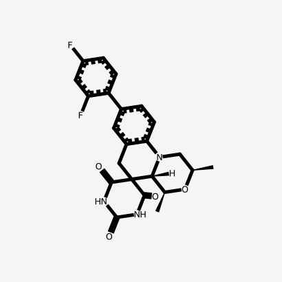 C[C@@H]1CN2c3ccc(-c4ccc(F)cc4F)cc3CC3(C(=O)NC(=O)NC3=O)[C@H]2[C@H](C)O1